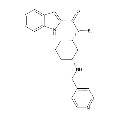 CCN(C(=O)c1cc2ccccc2[nH]1)[C@H]1CCC[C@@H](NCc2ccncc2)C1